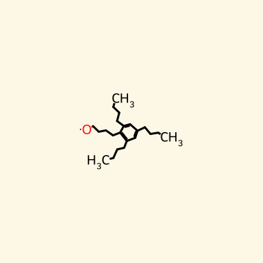 CCCCc1cc(CCCC)c(CCCC[O])c(CCCC)c1